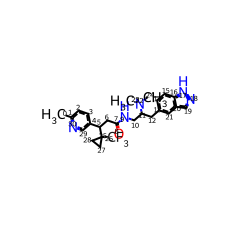 Cc1ccc(C(CC(=O)NCC(Cc2ccc3[nH]ncc3c2)N(C)C)C2(C(F)(F)F)CC2)cn1